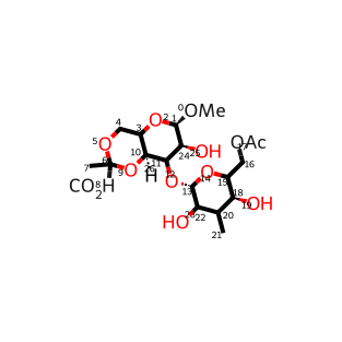 CO[C@@H]1OC2COC(C)(C(=O)O)O[C@@H]2C(O[C@@H]2OC(COC(C)=O)[C@@H](O)C(C)C2O)[C@@H]1O